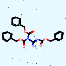 N/C(=N\C(=O)OCc1ccccc1)N(C(=O)OCc1ccccc1)C(=O)OCc1ccccc1